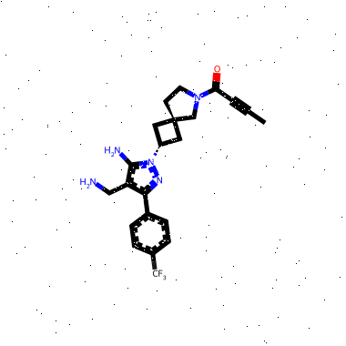 CC#CC(=O)N1CC[C@]2(C1)C[C@@H](n1nc(-c3ccc(C(F)(F)F)cc3)c(CN)c1N)C2